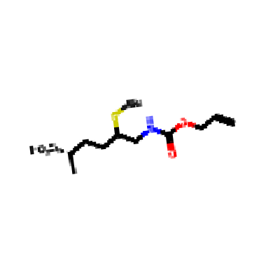 C=CCOC(=O)NCC(CC[C@H](C)C(=O)O)SC(C)(C)C